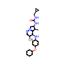 Cc1c(NC(=O)NCC2CC2)cn2ncc(C#N)c(Nc3ccc(Oc4ccccc4)cc3)c12